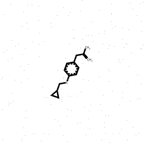 C=C(C)Cc1ccc(SCC2CC2)cc1